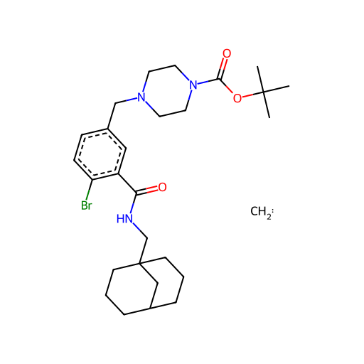 CC(C)(C)OC(=O)N1CCN(Cc2ccc(Br)c(C(=O)NCC34CCCC(CCC3)C4)c2)CC1.[CH2]